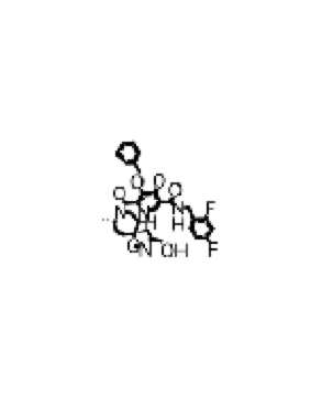 C[C@H]1C=C[C@]2(CC(CO)=NO2)[C@H]2CN1C(=O)c1c(OCc3ccccc3)c(=O)c(C(=O)NCc3ccc(F)cc3F)cn12